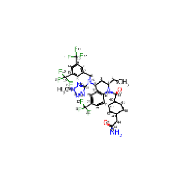 CC[C@@H]1CC(N(Cc2cc(C(F)(F)F)cc(C(F)(F)F)c2)c2nnn(C)n2)c2cc(C(F)(F)F)ccc2N1C(=O)C1CCC(CC(N)=O)CC1